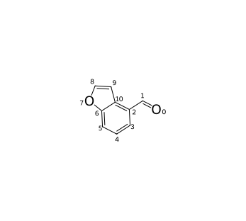 O=Cc1cccc2occc12